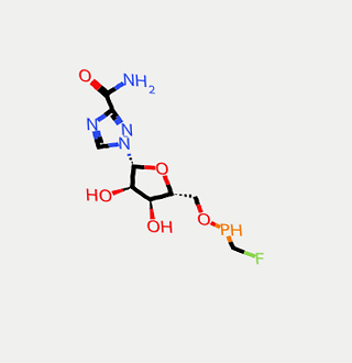 NC(=O)c1ncn([C@@H]2O[C@H](COPCF)[C@@H](O)[C@H]2O)n1